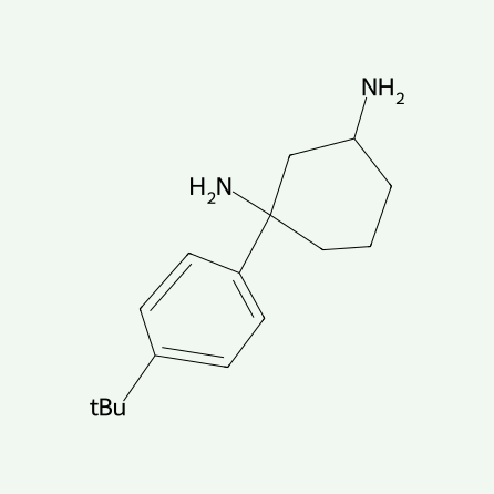 CC(C)(C)c1ccc(C2(N)CCCC(N)C2)cc1